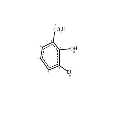 CCc1c[c]cc(C(=O)O)c1O